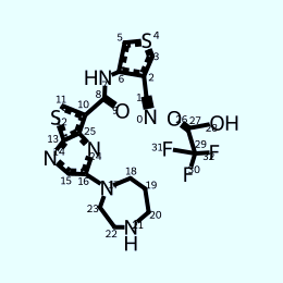 N#Cc1cscc1NC(=O)c1csc2ncc(N3CCCNCC3)nc12.O=C(O)C(F)(F)F